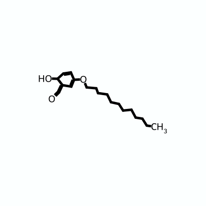 CCCCCCCCCCCCOC1=CC(=C=O)C(O)C=C1